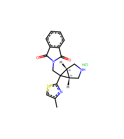 Cc1csc(C2(CN3C(=O)c4ccccc4C3=O)[C@@H]3CNC[C@@H]32)n1.Cl